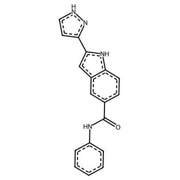 O=C(Nc1ccccc1)c1ccc2[nH]c(-c3cc[nH]n3)cc2c1